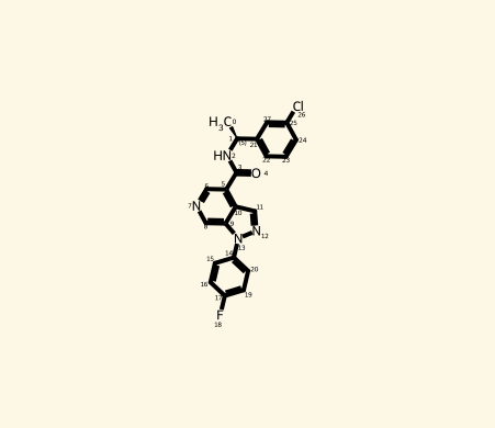 C[C@H](NC(=O)c1cncc2c1cnn2-c1ccc(F)cc1)c1cccc(Cl)c1